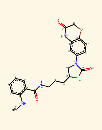 CCCNc1ccccc1C(=O)NCCCC1CN(c2ccc3c(c2)NC(=O)CS3)C(=O)O1